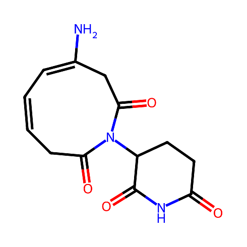 N/C1=C/C=C\CC(=O)N(C2CCC(=O)NC2=O)C(=O)C1